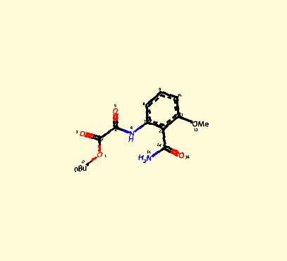 CCCCOC(=O)C(=O)Nc1cccc(OC)c1C(N)=O